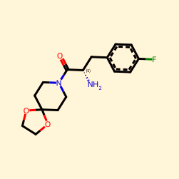 N[C@@H](Cc1ccc(F)cc1)C(=O)N1CCC2(CC1)OCCO2